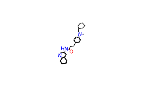 CN(CC1CCCCC1)c1ccc(CCC(=O)Nc2cnc3ccccc3c2)cc1